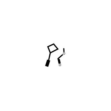 C#CC1CCC1.COC=O